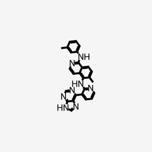 Cc1cccc(Nc2nccc3c(Nc4ncccc4-c4ncnc5[nH]cnc45)c(C)ccc23)c1